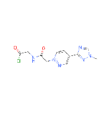 Cn1cnc(-c2cc[n+](CC(=O)NCC(=O)Cl)nc2)n1